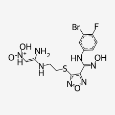 N/C(=C\[NH+]([O-])O)NCCSc1nonc1/C(=N/O)Nc1ccc(F)c(Br)c1